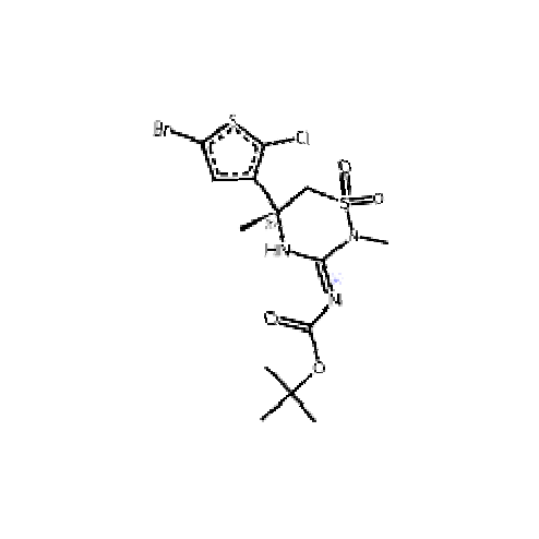 CN1/C(=N/C(=O)OC(C)(C)C)N[C@](C)(c2cc(Br)sc2Cl)CS1(=O)=O